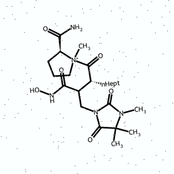 CCCCCCC[C@@H](C(=O)[N+]1(C)CCC[C@H]1C(N)=O)C(CN1C(=O)N(C)C(C)(C)C1=O)C(=O)NO